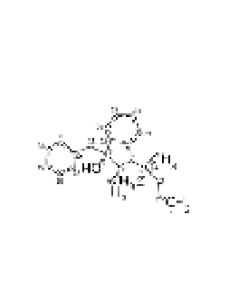 C=CC[N+](C)(C)C[C@@H](C)[C@@](O)(Cc1ccccc1)c1ccccc1